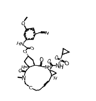 COc1cc(C#N)cc(NC(=O)O[C@@H]2CC3C(=O)N[C@]4(C(=O)NS(=O)(=O)C5CC5)C[C@H]4/C=C\CCCCN(C)C(=O)[C@@H]3C2)c1